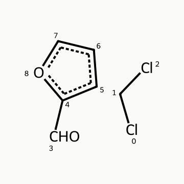 ClCCl.O=Cc1ccco1